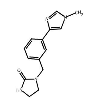 Cn1cnc(-c2[c]ccc(CN3CCNC3=O)c2)c1